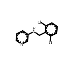 Clc1cccc(Cl)c1CNc1cccnc1